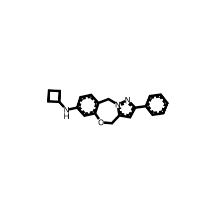 c1ccc(-c2cc3n(n2)Cc2ccc(NC4CCC4)cc2OC3)cc1